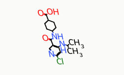 CC(C)Nc1cc(Cl)ncc1C(=O)NC1CCC(C(=O)O)CC1